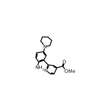 COC(=O)c1ccnc(-c2cc(N3CCCCC3)ccc2N)c1